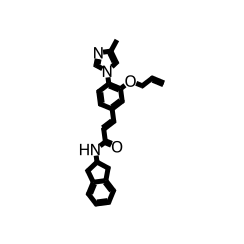 C=CCOc1cc(C=CC(=O)NC2Cc3ccccc3C2)ccc1-n1cnc(C)c1